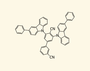 N#Cc1cccc(-c2cc(-n3c4ccccc4c4cc(-c5ccccc5)ccc43)c(C#N)c(-n3c4ccccc4c4cc(-c5ccccc5)ccc43)c2)c1